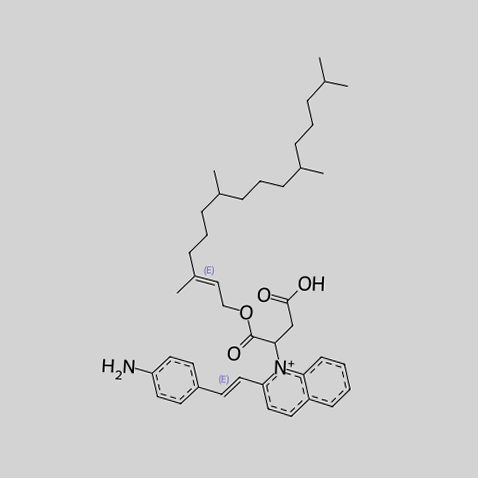 C/C(=C\COC(=O)C(CC(=O)O)[n+]1c(/C=C/c2ccc(N)cc2)ccc2ccccc21)CCCC(C)CCCC(C)CCCC(C)C